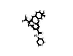 Cc1cc(C(=O)NC2CCOCC2)cc2nc(C(F)F)c(CC3CCC(F)(F)CC3)n12